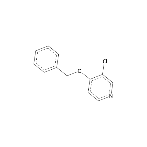 Clc1cnccc1OCc1ccccc1